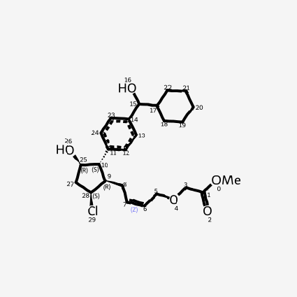 COC(=O)COC/C=C\C[C@@H]1[C@@H](c2ccc(C(O)C3CCCCC3)cc2)[C@H](O)C[C@@H]1Cl